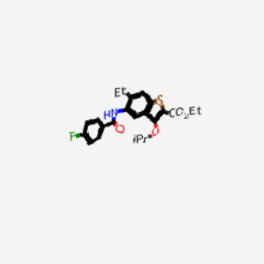 CCOC(=O)c1sc2cc(CC)c(NC(=O)c3ccc(F)cc3)cc2c1OC(C)C